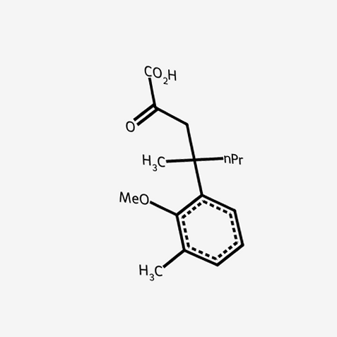 CCCC(C)(CC(=O)C(=O)O)c1cccc(C)c1OC